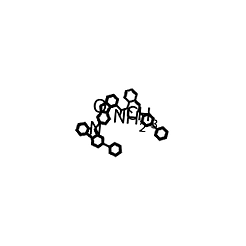 C[C@H](C1C=CC=C/C1=C/Cc1ccc(-c2ccccc2)cc1)C(N)c1cccc2oc3cc(-n4c5ccccc5c5ccc(-c6ccccc6)cc54)ccc3c12